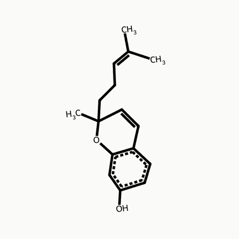 CC(C)=CCCC1(C)C=Cc2ccc(O)cc2O1